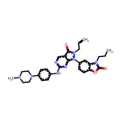 C=CCn1c(=O)c2cnc(Nc3ccc(N4CCN(C)CC4)cc3)nc2n1-c1ccc2oc(=O)n(CCC)c2c1